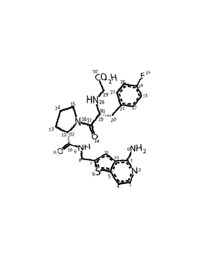 Nc1nccc2sc(CNC(=O)[C@@H]3CCCN3C(=O)[C@@H](Cc3ccc(F)cc3)NCC(=O)O)cc12